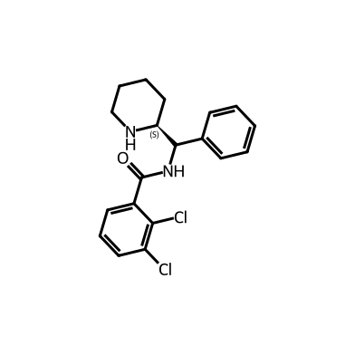 O=C(NC(c1ccccc1)[C@@H]1CCCCN1)c1cccc(Cl)c1Cl